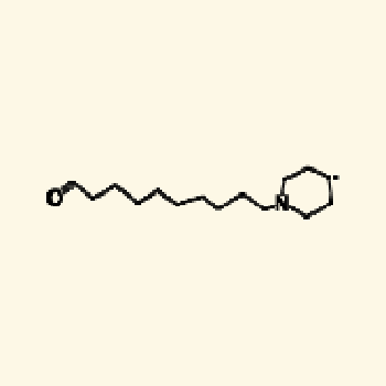 O=CCCCCCCCCCN1CC[CH]CC1